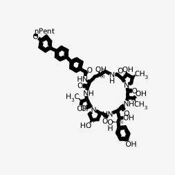 CCCCCOc1ccc(-c2ccc(-c3ccc(C(=O)NC4C[C@@H](O)CNC(=O)C5[C@@H](O)[C@@H](C)CN5C(=O)C([C@@H](C)O)NC(=O)C(C(O)[C@@H](O)c5ccc(O)cc5)NC(=O)C5C[C@@H](O)CN5C(=O)C([C@@H](C)O)NC4=O)cc3)cc2)cc1